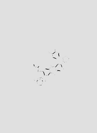 C=CC(=O)Nc1cc(Nc2cc(N3OCC[C@@H]3c3ccc(Cl)c(Cl)c3)ncn2)c(OC)cc1N1C[C@@H]2C[C@H]1CO2